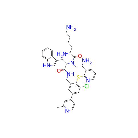 Cc1cc(-c2cc(Cl)c(Sc3ncccc3CN)c(CNC(=O)[C@H](Cc3c[nH]c4ccccc34)N(C)C(=O)[C@@H](N)CCCCN)c2)ccn1